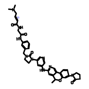 CC1Oc2cc(N3CCCC3=O)ccc2-c2cnc(Nc3cncc(N4CCN(Cc5cccc(NC(=O)CNC(=O)/C=C/CN(C)C)c5)C4=O)c3)cc21